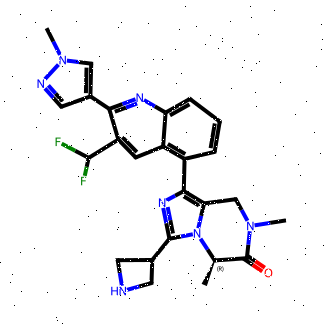 C[C@@H]1C(=O)N(C)Cc2c(-c3cccc4nc(-c5cnn(C)c5)c(C(F)F)cc34)nc(C3CNC3)n21